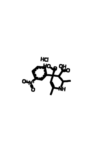 CC1=CC(C(=O)O)(c2cccc([N+](=O)[O-])c2)C(C(=O)O)C(C)N1.Cl